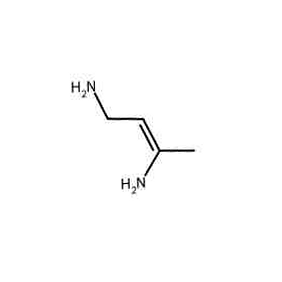 CC(N)=CCN